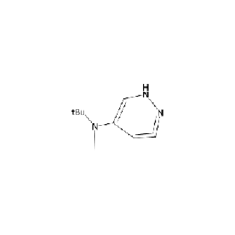 CN(C1=CNN=C=C1)C(C)(C)C